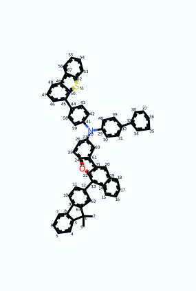 CC1(C)c2ccccc2-c2ccc(-c3c4ccccc4cc4c3oc3ccc(N(c5ccc(-c6ccccc6)cc5)c5ccc(-c6cccc7c6sc6ccccc67)cc5)cc34)cc21